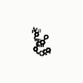 O=C(Nc1ccc(N2CCCCC2)cc1C(=O)N/N=C\c1ccc(Cl)c(C(F)(F)F)c1)c1cccc(CN2CCc3nc4ncccc4cc3C2)c1